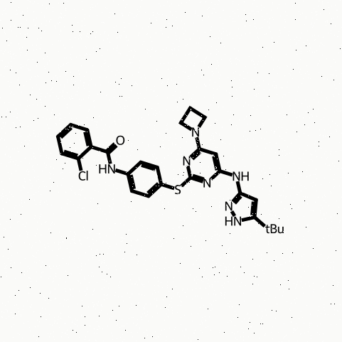 CC(C)(C)c1cc(Nc2cc(N3CCC3)nc(Sc3ccc(NC(=O)c4ccccc4Cl)cc3)n2)n[nH]1